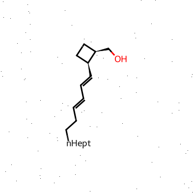 CCCCCCCCC/C=C/C=C/[C@H]1CC[C@H]1CO